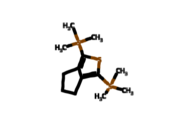 CS(C)(C)c1sc(S(C)(C)C)c2c1CCC2